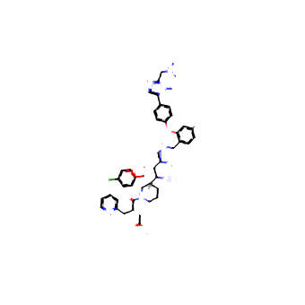 C[C@H](NCc1ccc(Cl)cc1Oc1ccc(-c2cnc(CN(C)C)n2C)cc1)C(N)[C@@H](CO)C(N)[C@@]1(Cc2ccc(Cl)cc2)CCCN(C(=O)[C@@H](CC(=O)OC(C)(C)C)Cc2cccc[n+]2[O-])C1